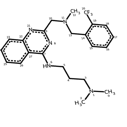 CN(C)CCCNc1nc(CN(C)Cc2ccccc2C(F)(F)F)nc2ccccc12